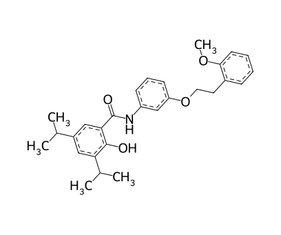 COc1ccccc1CCOc1cccc(NC(=O)c2cc(C(C)C)cc(C(C)C)c2O)c1